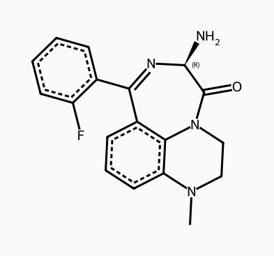 CN1CCN2C(=O)[C@H](N)N=C(c3ccccc3F)c3cccc1c32